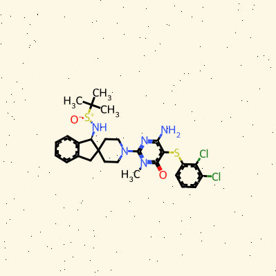 Cn1c(N2CCC3(CC2)Cc2ccccc2[C@H]3N[S@+]([O-])C(C)(C)C)nc(N)c(Sc2cccc(Cl)c2Cl)c1=O